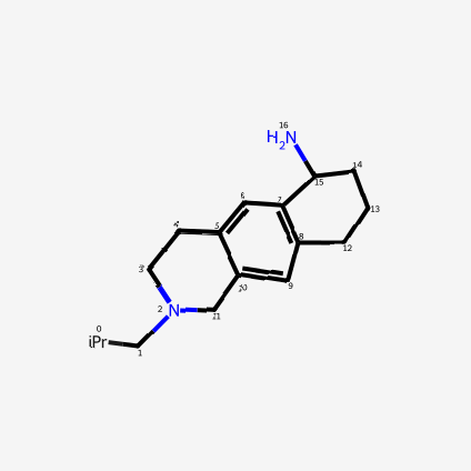 CC(C)CN1CCc2cc3c(cc2C1)CCCC3N